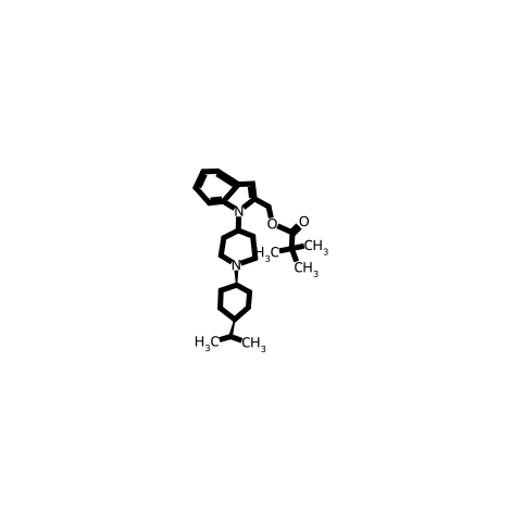 CC(C)[C@H]1CC[C@@H](N2CCC(n3c(COC(=O)C(C)(C)C)cc4ccccc43)CC2)CC1